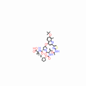 C=C[C@@H]1C[C@]1(NC(=O)[C@@H]1C[C@@H](Oc2cc(-c3csc(NC(C)=O)n3)nc3c(C)c(OC(C)(C)C)ccc23)CN1C(=O)[C@@H](NC(=O)OC1CCCC1)C(=C)C)C(=O)O